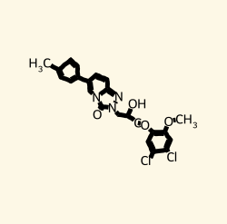 COc1cc(Cl)c(Cl)cc1OCC(O)Cn1nc2ccc(-c3ccc(C)cc3)cn2c1=O